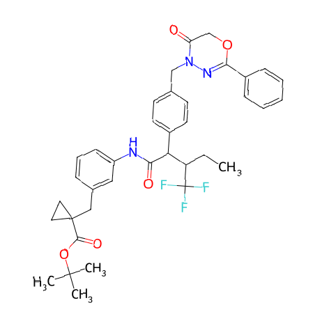 CCC(C(C(=O)Nc1cccc(CC2(C(=O)OC(C)(C)C)CC2)c1)c1ccc(CN2N=C(c3ccccc3)OCC2=O)cc1)C(F)(F)F